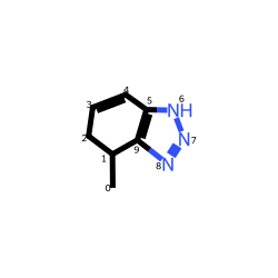 CC1CC=Cc2[nH]nnc21